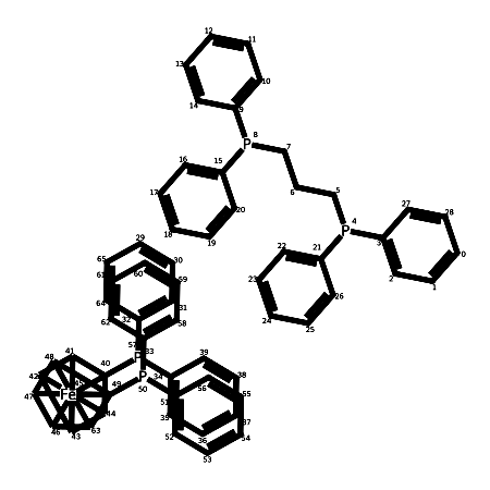 c1ccc(P(CCCP(c2ccccc2)c2ccccc2)c2ccccc2)cc1.c1ccc(P(c2ccccc2)[C]23[CH]4[CH]5[CH]6[CH]2[Fe]56432789[CH]3[CH]2[CH]7[C]8(P(c2ccccc2)c2ccccc2)[CH]39)cc1